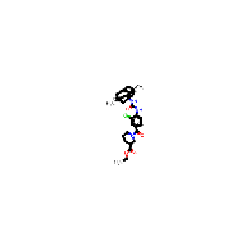 CCOC(=O)C1CCCN(C(=O)c2ccc(NC(=O)NC34CC5C[C@@](C)(C3)C[C@](C)(C5)C4)c(Cl)c2)C1